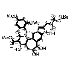 CCN(Cc1cc2cc3c(cc2n1C)C(O)C(O)Cc1c(O)c(C(=O)OC)c(=O)n(Cc2ccc(OC)cc2OC)c1-3)C(=O)OC(C)(C)C